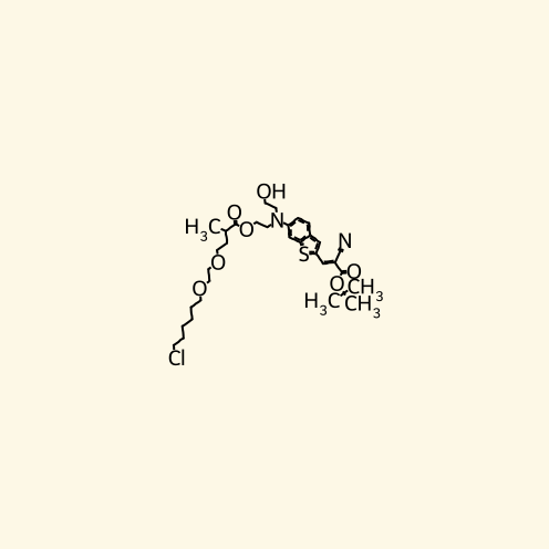 CC(CCOCCOCCCCCCCl)C(=O)OCCN(CCO)c1ccc2cc(/C=C(\C#N)C(=O)OC(C)(C)C)sc2c1